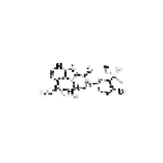 CN(C)c1ccnc2sc3c(=O)n(-c4ccc(Br)c(C(F)(F)F)c4)cnc3c12